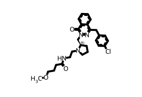 COCCCC(=O)NCCN1CCC[C@@H]1Cn1nc(Cc2ccc(Cl)cc2)c2ccccc2c1=O